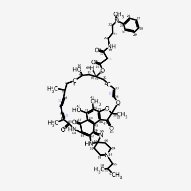 C/C1=C/C=C/C(C)CCC(O)C[C@H](OC(=O)CC(=O)NCCCN(C)c2ccccc2)CC/C=C/OC2(C)Oc3c(C)c(O)c4c(c3C2=O)C2=NC3(CCN(CC(C)C)CC3)NC2=C(NC1=O)C4=O